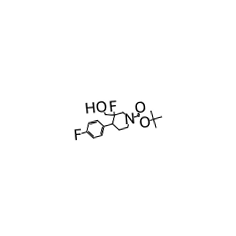 CC(C)(C)OC(=O)N1CCC(c2ccc(F)cc2)C(F)(CO)C1